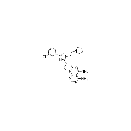 NC(=O)c1c(N)ncnc1N1CCC(c2nc(-c3cccc(Cl)c3)cn2CCN2CCCC2)CC1